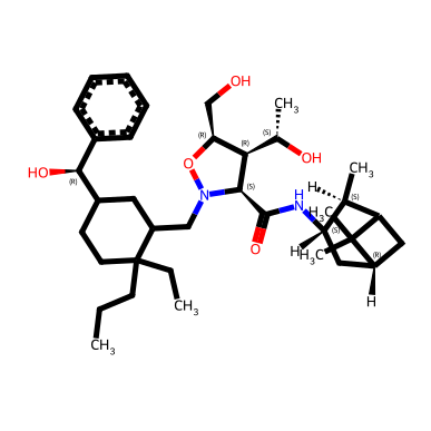 CCCC1(CC)CCC([C@@H](O)c2ccccc2)CC1CN1O[C@@H](CO)[C@@H]([C@H](C)O)[C@H]1C(=O)N[C@H]1C[C@H]2CC([C@@H]1C)C2(C)C